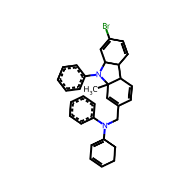 CC12C=C(CN(C3=CC=CCC3)c3ccccc3)C=CC1C1C=CC(Br)=CC1N2c1ccccc1